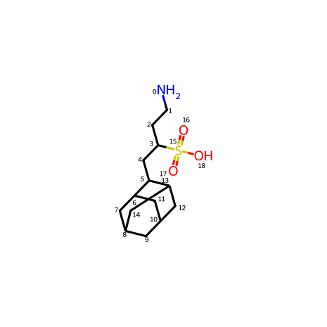 NCCC(CC1C2CC3CC(C2)CC1C3)S(=O)(=O)O